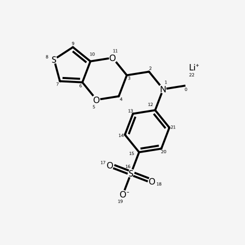 CN(CC1COc2cscc2O1)c1ccc(S(=O)(=O)[O-])cc1.[Li+]